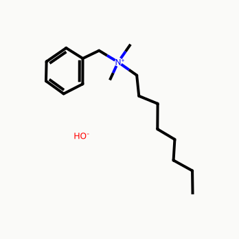 CCCCCCCC[N+](C)(C)Cc1ccccc1.[OH-]